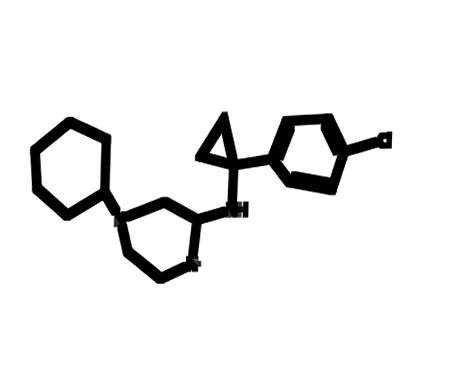 Clc1ccc(C2(NC3CN(C4CCCCC4)CC[N]3)CC2)cc1